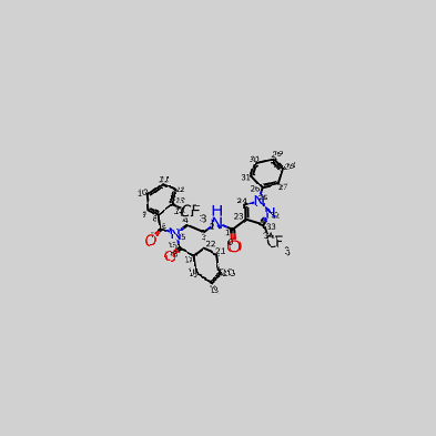 O=C(NCCN(C(=O)c1ccccc1C(F)(F)F)C(=O)C1CCCCC1)c1cn(-c2ccccc2)nc1C(F)(F)F